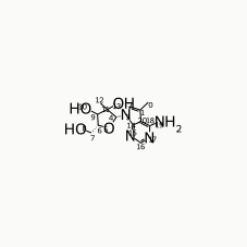 Cc1cn([C@@H]2O[C@H](CO)C(O)C2(C)O)c2ncnc(N)c12